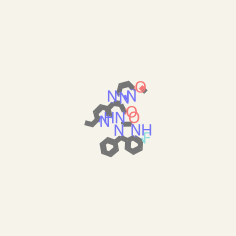 CCc1ccc(-c2nc3ccc(OC)nn3c2C(=O)N[C@H]2N=C(c3ccccc3)c3cccc(F)c3NC2=O)cn1